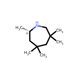 C[C@H]1CC(C)(C)CC(C)(C)CN1